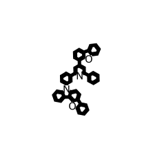 c1ccc(-c2cc(-c3cccc4c3oc3ccccc34)cc(-c3cccc(-n4c5ccccc5c5c6oc7ccccc7c6ccc54)c3)n2)cc1